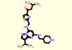 CC(C)CC(=O)c1csc(CNc2cc(NCC3CCNCC3)nc3c(C(C)C)cnn23)n1